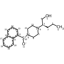 CCC[C@H](CO)N1CCN([S+]([O-])c2cccc3ccccc23)CC1